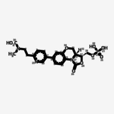 CN(CCc1ccc(-c2ccc3c(c2)OC[C@H]2[C@H](COP(=O)(O)O)OC(=O)N32)cn1)C(=O)O